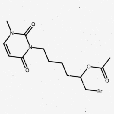 CC(=O)OC(CBr)CCCCn1c(=O)ccn(C)c1=O